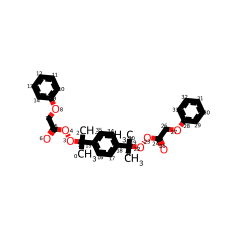 CC(C)(OOC(=O)COc1ccccc1)c1ccc(C(C)(C)OOC(=O)COc2ccccc2)cc1